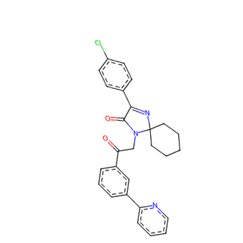 O=C(CN1C(=O)C(c2ccc(Cl)cc2)=NC12CCCCC2)c1cccc(-c2ccccn2)c1